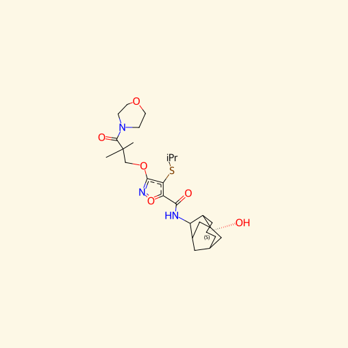 CC(C)Sc1c(OCC(C)(C)C(=O)N2CCOCC2)noc1C(=O)NC1C2CC3CC(C2)C1C[C@@H](O)C3